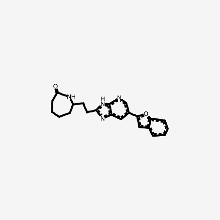 O=C1CCCCC(CCc2nc3cc(-c4cc5ccccc5o4)cnc3[nH]2)N1